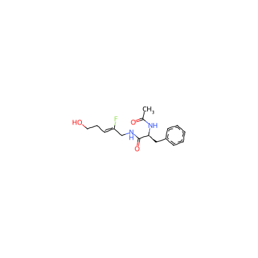 CC(=O)N[C@@H](Cc1ccccc1)C(=O)NC/C(F)=C/CCO